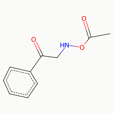 CC(=O)ONCC(=O)c1ccccc1